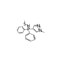 CSC[PH](c1ccccc1)(c1ccccc1)c1cnn(C)c1